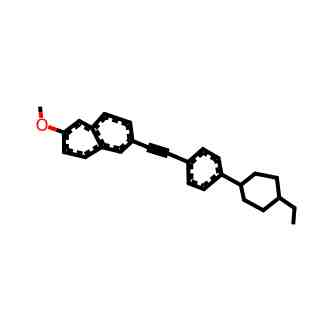 CCC1CCC(c2ccc(C#Cc3ccc4cc(OC)ccc4c3)cc2)CC1